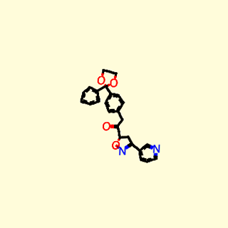 O=C(Cc1ccc(C2(c3ccccc3)OCCO2)cc1)C1CC(c2cccnc2)=NO1